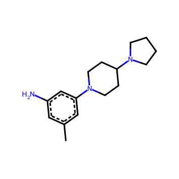 Cc1cc(N)cc(N2CCC(N3CCCC3)CC2)c1